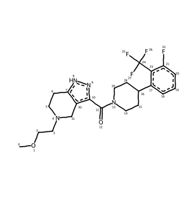 COCCN1CCc2[nH]nc(C(=O)N3CCC(c4cccc(F)c4C(F)(F)F)CC3)c2C1